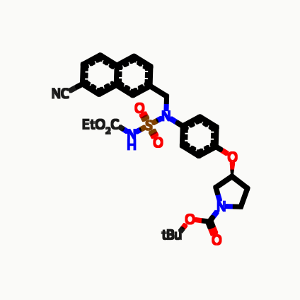 CCOC(=O)NS(=O)(=O)N(Cc1ccc2ccc(C#N)cc2c1)c1ccc(O[C@H]2CCN(C(=O)OC(C)(C)C)C2)cc1